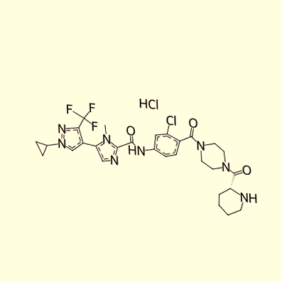 Cl.Cn1c(-c2cn(C3CC3)nc2C(F)(F)F)cnc1C(=O)Nc1ccc(C(=O)N2CCN(C(=O)[C@H]3CCCCN3)CC2)c(Cl)c1